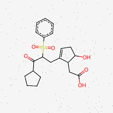 O=C(O)CC1C(CC(C(=O)C2CCCC2)S(=O)(=O)c2ccccc2)=CCC1O